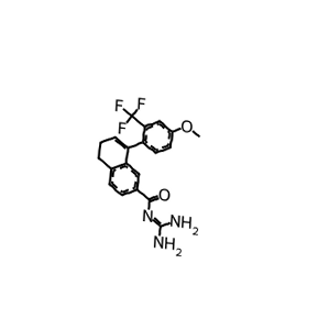 COc1ccc(C2=CCCc3ccc(C(=O)N=C(N)N)cc32)c(C(F)(F)F)c1